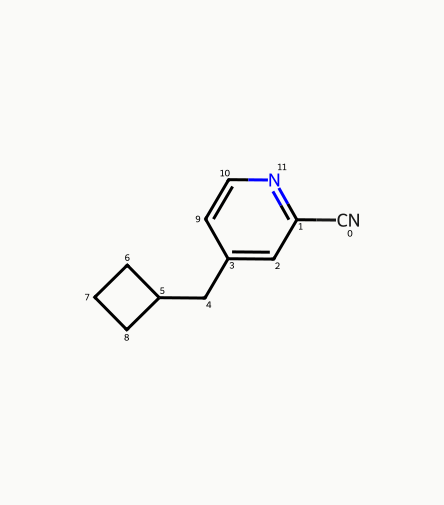 N#Cc1cc(CC2CCC2)ccn1